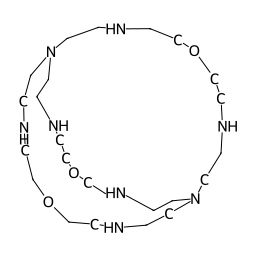 C1COCCNCCN2CCNCCOCCNCCN(CCN1)CCNCCOCCNCC2